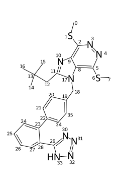 CSc1nnc(SC)c2c1nc(CC(C)(C)C)n2Cc1ccc(-c2ccccc2-c2nnn[nH]2)cc1